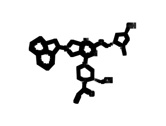 C=CC(=O)N1CCN(c2nc(OC[C@@H]3C[C@@H](O)CN3C)nc3c2CN(C2Cc4cccc5cccc2c45)C3)C[C@@H]1CC#N